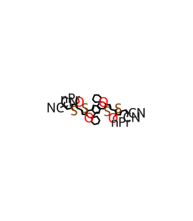 CCCOc1cc(C=C(C#N)C#N)sc1-c1cc2c(s1)-c1cc3c(cc1C1(CCCCC1)O2)-c1sc(-c2sc(C=C(C#N)C#N)cc2OCCC)cc1OC31CCCCC1